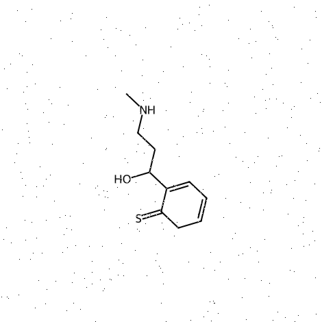 CNCCC(O)C1=CC=CCC1=S